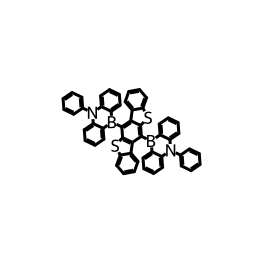 c1ccc(N2c3ccccc3B(c3c4sc5ccccc5c4c(B4c5ccccc5N(c5ccccc5)c5ccccc54)c4sc5ccccc5c34)c3ccccc32)cc1